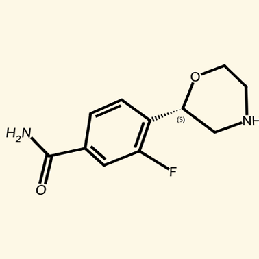 NC(=O)c1ccc([C@H]2CNCCO2)c(F)c1